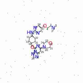 CN(C)CCOc1cnc(NC2CCC(Oc3nc(N4CCOCC4)cc4ncnn34)CC2)nc1